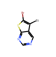 CCc1c(Br)sc2ncncc12